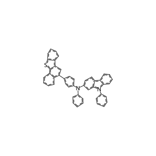 c1ccc(N(c2ccc(-c3cc4c5ccccc5sc4c4ccccc34)cc2)c2ccc3c4ccccc4n(-c4ccccc4)c3c2)cc1